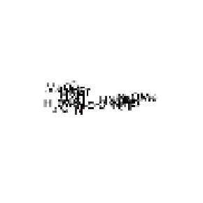 COC(=O)N[C@H](C(=O)N1CC=C[C@H]1c1ncc(-c2ccc(-c3ccc(-c4cnc([C@@H]5CN(S(C)(=O)=O)CN5C(=O)[C@@H](NC(=O)OC)C(C)C)[nH]4)cc3)cc2)[nH]1)C(C)C